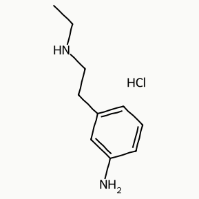 CCNCCc1cccc(N)c1.Cl